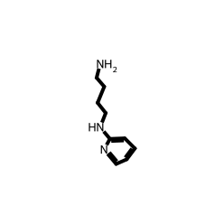 NCCCCNc1ccccn1